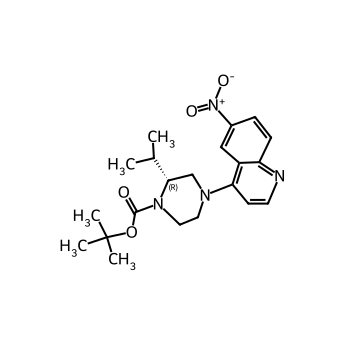 CC(C)[C@@H]1CN(c2ccnc3ccc([N+](=O)[O-])cc23)CCN1C(=O)OC(C)(C)C